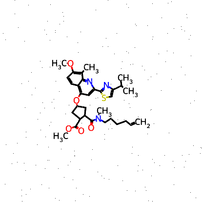 C=CCCCCN(C)C(=O)C1C[C@H](Oc2cc(-c3nc(C(C)C)cs3)nc3c(C)c(OC)ccc23)CC1C(=O)OC